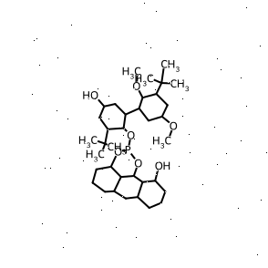 COC1CC(C2CC(O)CC(C(C)(C)C)C2OP2OC3CCCC4CC5CCCC(O)C5C(O2)C43)C(OC)C(C(C)(C)C)C1